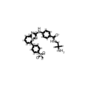 CC(C)(N)CNC(=O)c1ccc(Nc2nc3cccc(-c4ccc(S(C)(=O)=O)cc4)n3n2)cc1